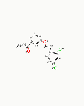 COC(=O)c1cccc(OCCc2ccc(Cl)cc2Cl)c1